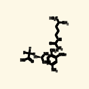 CC(C)[C@H](N)C(=O)O.COc1cc(N)ccc1C(=O)O.NC(=O)NCCC[C@H](N)C(=O)O.O=C(O)C(F)(F)F